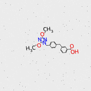 CCOc1nc(OCC)n(Cc2ccc(Cc3cccc(C(=O)O)c3)cc2)n1